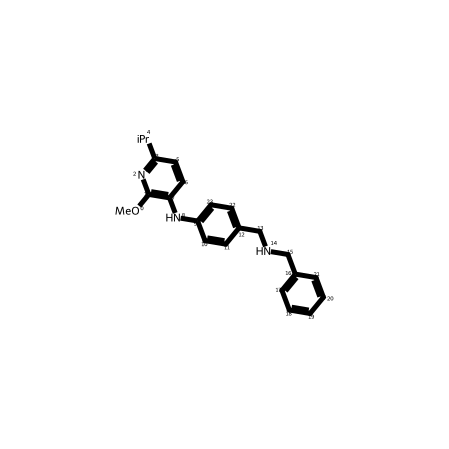 COc1nc(C(C)C)ccc1Nc1ccc(CNCc2ccccc2)cc1